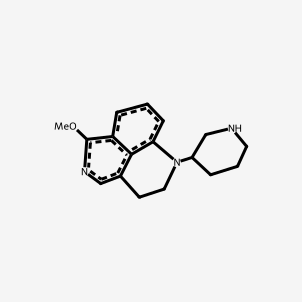 COc1ncc2c3c(cccc13)N(C1CCCNC1)CC2